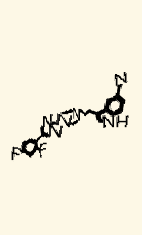 N#Cc1ccc2[nH]cc(CCCN3CCN(c4ncc(-c5ccc(F)cc5F)cn4)CC3)c2c1